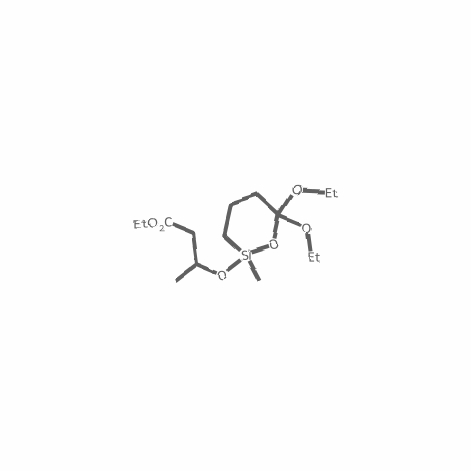 CCOC(=O)CC(C)O[Si]1(C)CCCC(OCC)(OCC)O1